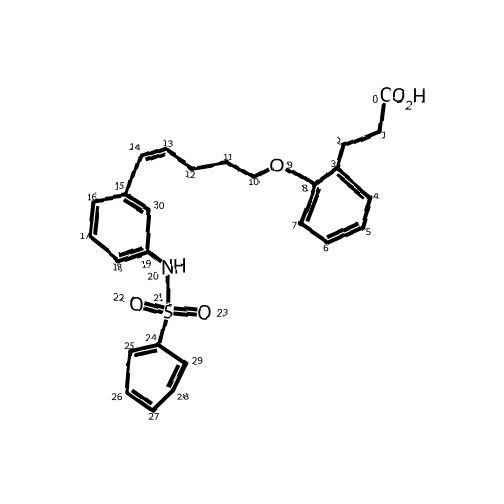 O=C(O)CCc1ccccc1OCCC/C=C\c1cccc(NS(=O)(=O)c2ccccc2)c1